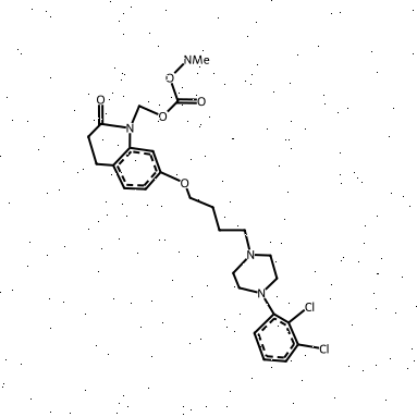 CNOC(=O)OCN1C(=O)CCc2ccc(OCCCCN3CCN(c4cccc(Cl)c4Cl)CC3)cc21